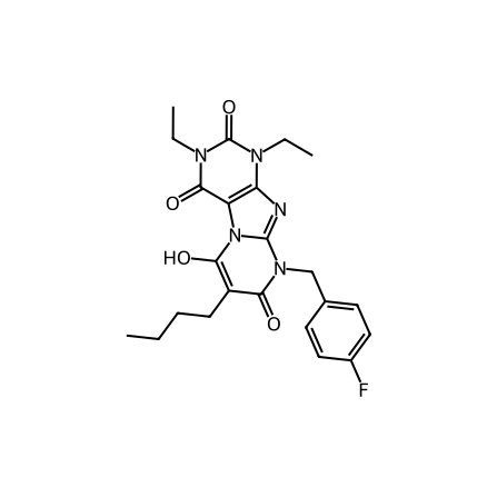 CCCCc1c(O)n2c3c(=O)n(CC)c(=O)n(CC)c3nc2n(Cc2ccc(F)cc2)c1=O